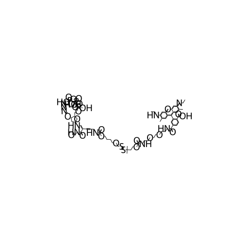 CC/N=c1/cc2oc3cc(NCC)c(C)cc3c(-c3cc(C(=O)NCCOCCOCCNC(=O)OCCC(C)(C)SSCOCCCCOC(=O)NCC#C/C(=C/N[C@H]4CC(OCN=[N+]=[N-])[C@@H](COP(=O)(O)OP(=O)(O)OP(=O)(O)O)O4)C(=O)NC=O)ccc3C(=O)O)c-2cc1C